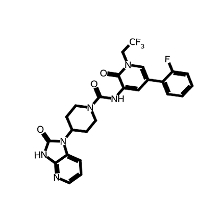 O=C(Nc1cc(-c2ccccc2F)cn(CC(F)(F)F)c1=O)N1CCC(n2c(=O)[nH]c3ncccc32)CC1